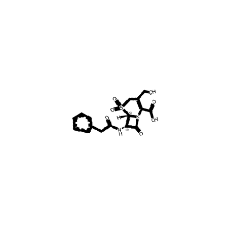 O=C(Cc1ccccc1)N[C@H]1C(=O)N2C(C(=O)O)=C(CO)CS(=O)(=O)[C@@H]12